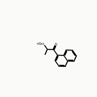 CCCCCCCCC(C)C(=O)c1cccc2ccccc12